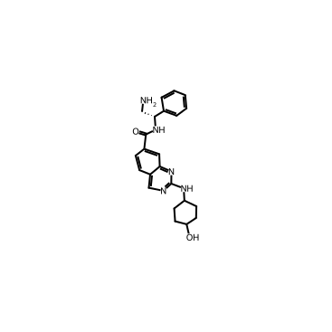 NC[C@@H](NC(=O)c1ccc2cnc(NC3CCC(O)CC3)nc2c1)c1ccccc1